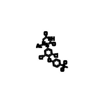 CC(=O)N1CC(=O)NC(=O)N1c1cc(Cl)c(Oc2ccc(S(C)(=O)=O)cc2)c(Cl)c1